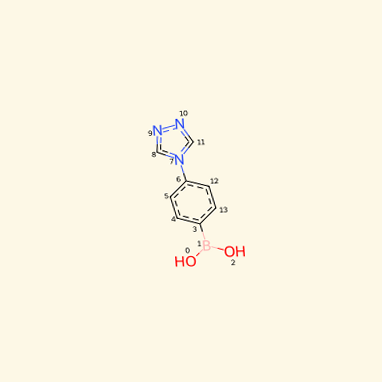 OB(O)c1ccc(-n2cnnc2)cc1